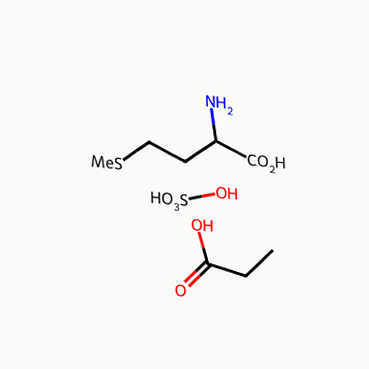 CCC(=O)O.CSCCC(N)C(=O)O.O=S(=O)(O)O